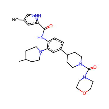 CC1CCN(c2cc(C3CCN(C(=O)N4CCOCC4)CC3)ccc2NC(=O)c2cc(C#N)c[nH]2)CC1